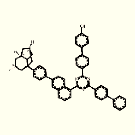 C[C@@H]1C[C@H]2C[C@@H]3CC2C(c2ccc(-c4ccc5c(-c6nc(-c7ccc(-c8ccccc8)cc7)nc(-c7ccc(-c8ccc(C#N)cc8)cc7)n6)cccc5c4)cc2)(C1)C3